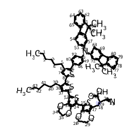 CCCCCCc1cc(-c2sc(-c3sc(-c4sc(/C=C(/C#N)C(=O)O)c5c4OCCO5)c4c3OCCO4)cc2CCCCCC)sc1-c1ccc(N(c2ccc3c(c2)C(C)(C)c2ccccc2-3)c2ccc3c(c2)C(C)(C)c2ccccc2-3)cc1